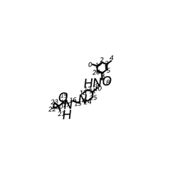 Cc1cc(C)cc(C(=O)NCC2CCN(CCNC(=O)C3(C)CC3)CC2)c1